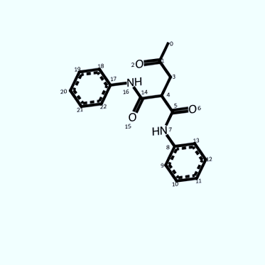 CC(=O)CC(C(=O)Nc1ccccc1)C(=O)Nc1ccccc1